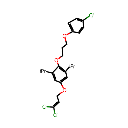 CC(C)c1cc(OCC=C(Cl)Cl)cc(C(C)C)c1OCCCOc1ccc(Cl)cc1